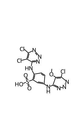 COc1c(Cl)nnnc1Nc1ccc(Nc2nnnc(Cl)c2Cl)c(S(=O)(=O)O)c1